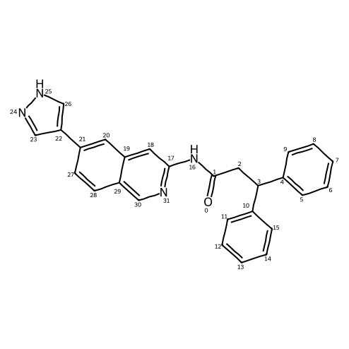 O=C(CC(c1ccccc1)c1ccccc1)Nc1cc2cc(-c3cn[nH]c3)ccc2cn1